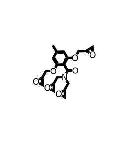 Cc1cc(OCC2CO2)c(C(=O)N(CC2CO2)CC2CO2)c(OCC2CO2)c1